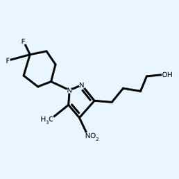 Cc1c([N+](=O)[O-])c(CCCCO)nn1C1CCC(F)(F)CC1